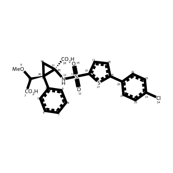 COC(C(=O)O)[C@@]1(c2ccccc2)C[C@]1(NS(=O)(=O)c1ccc(-c2ccc(Cl)cc2)s1)C(=O)O